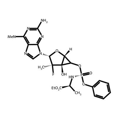 CCOC(=O)[C@H](C)N[P@](=O)(Oc1ccccc1)OC1[C@H]2O[C@@H](n3cnc4c(NC)nc(N)nc43)[C@](C)(F)[C@@]12O